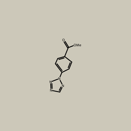 COC(=O)c1ccc(-n2ncnn2)cc1